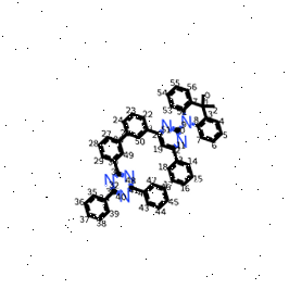 CC1(C)c2ccccc2N(c2nc(-c3ccccc3)cc(-c3cccc(-c4cccc(-c5nc(-c6ccccc6)nc(-c6ccccc6)n5)c4)c3)n2)c2ccccc21